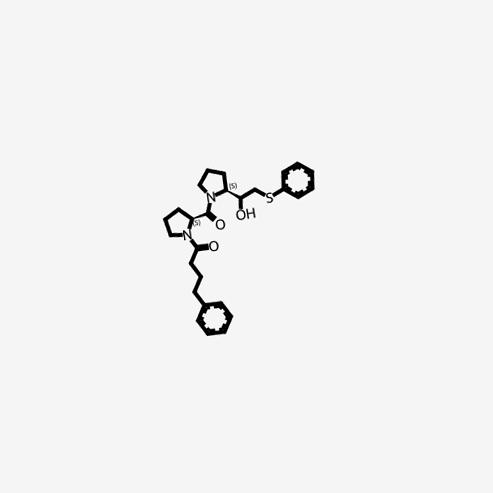 O=C(CCCc1ccccc1)N1CCC[C@H]1C(=O)N1CCC[C@H]1C(O)CSc1ccccc1